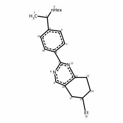 CCCCCCC(C)c1ccc(-c2ncc3c(n2)CCC(CC)C3)cc1